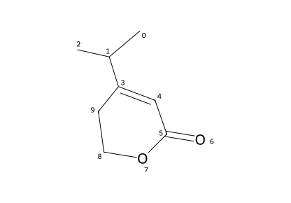 CC(C)C1=CC(=O)OCC1